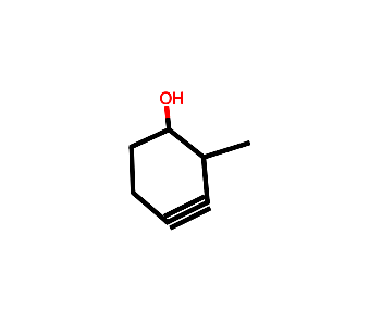 CC1C#CCCC1O